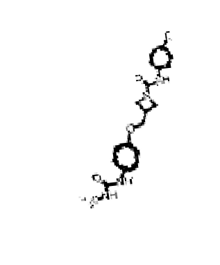 CNC(=O)Nc1ccc(OCC2CN(C(=O)Nc3ccc(Cl)cc3)C2)cc1